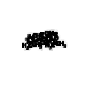 COc1cc(C(=O)N(C)C)ccc1/C(F)=C(C)/C=C/C1=C(C)CCCC1(C)C